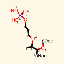 CCCCCCCCCCOC(CCCCCCCCC)C(C)OCCCOP(=O)(O)O